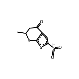 CC1CC(=O)c2cc([SH](=O)=O)sc2S1